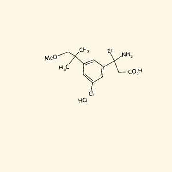 CCC(N)(CC(=O)O)c1cc(Cl)cc(C(C)(C)COC)c1.Cl